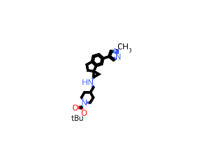 Cn1cc(-c2ccc3c(c2)C2(CC3)CC2NCC2CCN(C(=O)OC(C)(C)C)CC2)cn1